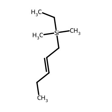 CCC=CC[Si](C)(C)CC